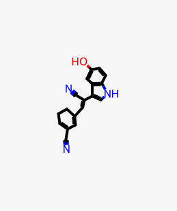 N#CC1=CCCC(/C=C(\C#N)c2c[nH]c3ccc(O)cc23)=C1